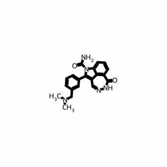 CN(C)Cc1cccc(-c2c3c4c(c[c]cc4n2C(N)=O)C(=O)NN=C3)c1